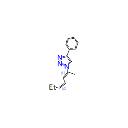 CC/C=C\C=C(/C)n1cc(-c2ccccc2)nn1